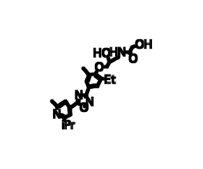 CCc1cc(-c2noc(-c3cc(C)nc(C(C)C)c3)n2)cc(C)c1OCC(O)CNC(=O)CO